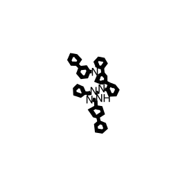 c1ccc(C2=NC(n3c4ccccc4c4cc5c6ccccc6n(-c6cccc(-c7ccccc7)c6)c5cc43)NC(c3ccc(-c4ccccc4)cc3)=N2)cc1